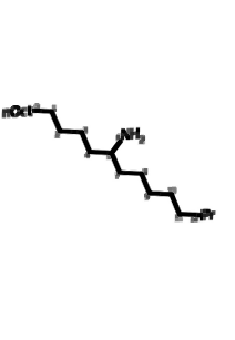 CCCCCCCCCCCCC(N)CCCCCC(C)C